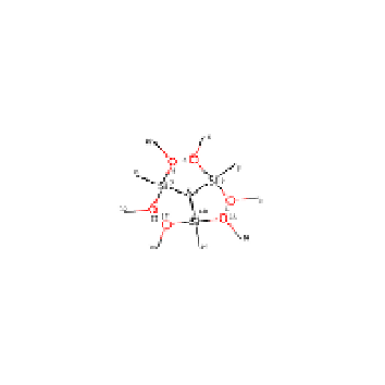 CO[Si](C)(OC)C([Si](C)(OC)OC)[Si](C)(OC)OC